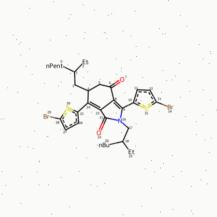 CCCCCC(CC)CC1CC(=O)C2=C(c3ccc(Br)s3)N(CC(CC)CCCC)C(=O)C2=C1c1ccc(Br)s1